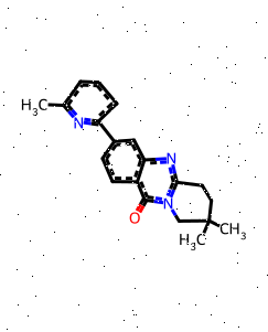 Cc1cccc(-c2ccc3c(=O)n4c(nc3c2)CCC(C)(C)C4)n1